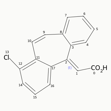 O=C(O)/C=C1\c2ccccc2C=Cc2c(Cl)cccc21